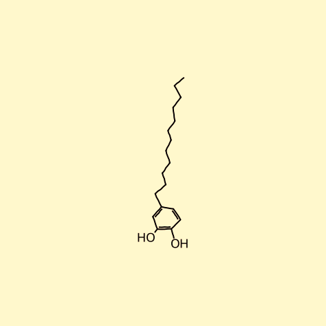 CCCCCCCCCCCCc1ccc(O)c(O)c1